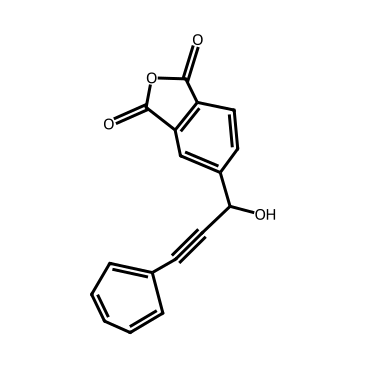 O=C1OC(=O)c2cc(C(O)C#Cc3ccccc3)ccc21